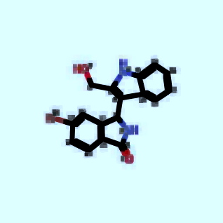 O=C1NC(c2c(CO)[nH]c3ccccc23)c2cc(Br)ccc21